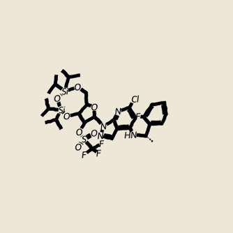 CC(C)[Si]1(C(C)C)OCC2OC(n3ncc4c(N[C@@H](C)c5ccccc5F)cc(Cl)nc43)C(OS(=O)(=O)C(F)(F)F)C2O[Si](C(C)C)(C(C)C)O1